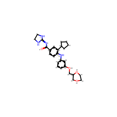 O=C(N=C1NCCN1)c1ccc(Nc2cccc(OCC3COCCO3)c2)c(C2CCCC2)c1